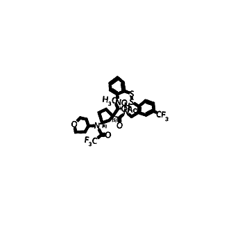 CC(=O)O[C@@H](C)[C@]1(C(=O)NCc2cc(C(F)(F)F)ccc2SSc2ccccc2[N+](=O)[O-])CC[C@@H](N(C(=O)C(F)(F)F)C2CCOCC2)C1